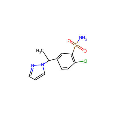 CC(c1ccc(Cl)c(S(N)(=O)=O)c1)n1cccn1